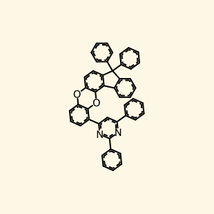 c1ccc(-c2cc(-c3cccc4c3Oc3c(ccc5c3-c3ccccc3C5(c3ccccc3)c3ccccc3)O4)nc(-c3ccccc3)n2)cc1